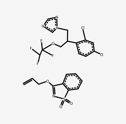 C=CCOC1=NS(=O)(=O)c2ccccc21.FC(F)C(F)(F)OCC(Cn1cncn1)c1ccc(Cl)cc1Cl